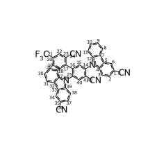 N#Cc1ccc2c(c1)c1ccccc1n2-c1cc(-c2ccc(C(F)(F)F)cc2C#N)c(-n2c3ccccc3c3cc(C#N)ccc32)cc1C#N